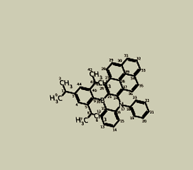 CC(C)c1cc(C(C)C)c(B2c3ccccc3N(c3ccccc3)c3c2cc2ccc4cccc5ccc3c2c45)c(C(C)C)c1